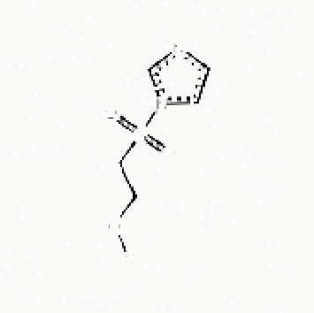 O=S(=O)(CCOC(F)(F)F)n1ccnc1